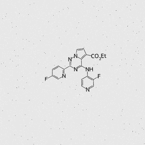 CCOC(=O)c1ccn2nc(-c3ccc(F)cn3)nc(Nc3ccncc3F)c12